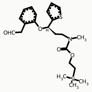 CN(CC[C@@H](Oc1ccccc1CC=O)c1cccs1)C(=O)OCC[Si](C)(C)C